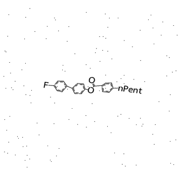 CCCCCc1ccc(C(=O)Oc2ccc(-c3ccc(F)cc3)cc2)cc1